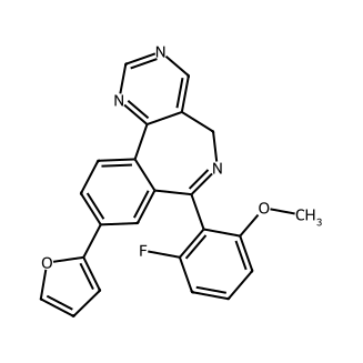 COc1cccc(F)c1C1=NCc2cncnc2-c2ccc(-c3ccco3)cc21